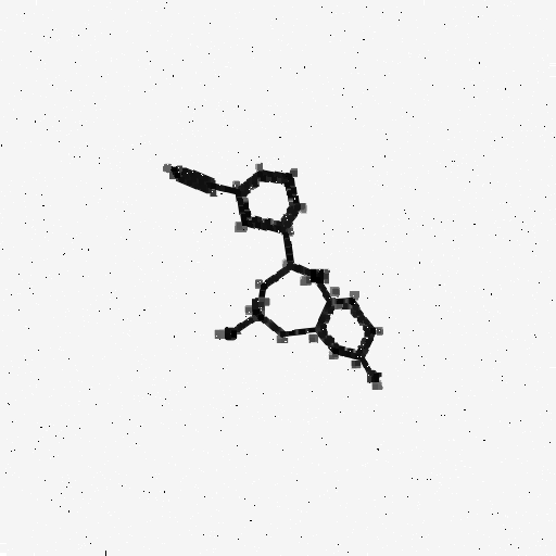 N#Cc1cccc(C2C[NH+]([O-])Cc3cc(Br)ccc3N2)c1